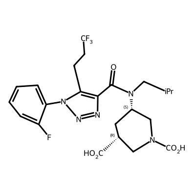 CC(C)CN(C(=O)c1nnn(-c2ccccc2F)c1CCC(F)(F)F)[C@H]1C[C@@H](C(=O)O)CN(C(=O)O)C1